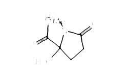 COC(=O)C1(C)CCC(=O)N1C